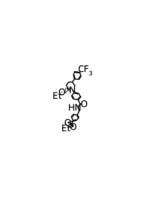 CCOC[C@@H]1CCC(c2ccc(C(F)(F)F)cc2)CN1c1ccc(C(=O)NCc2ccc(S(=O)(=O)CC)cc2)cc1